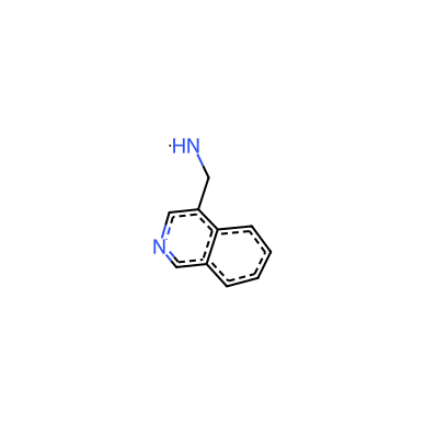 [NH]Cc1cncc2ccccc12